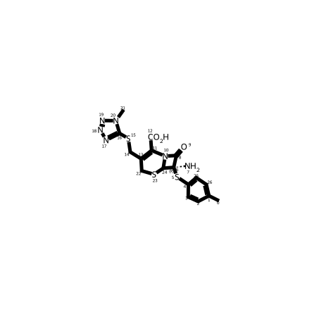 Cc1ccc(S[C@]2(N)C(=O)N3C(C(=O)O)=C(CSc4nnnn4C)CSC32)cc1